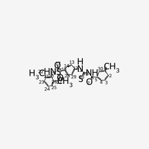 Cc1cccc(C(=O)NC(=S)Nc2ccc(S(=O)(=O)Nc3c(C)cccc3C)cc2)c1